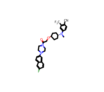 CN(c1ccc(C#N)c(C(F)(F)F)c1)[C@H]1CC[C@H](OCC(=O)N2CCN(c3ccc4cc(F)ccc4c3)CC2)CC1